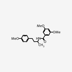 COc1ccc(CCC(C)NC(=O)c2cc(OC)cc(OC)c2)cc1